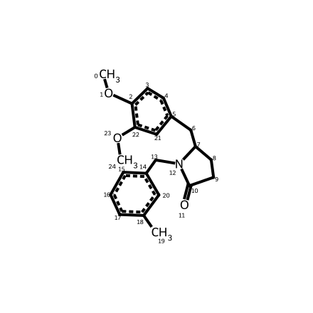 COc1ccc(CC2CCC(=O)N2Cc2cccc(C)c2)cc1OC